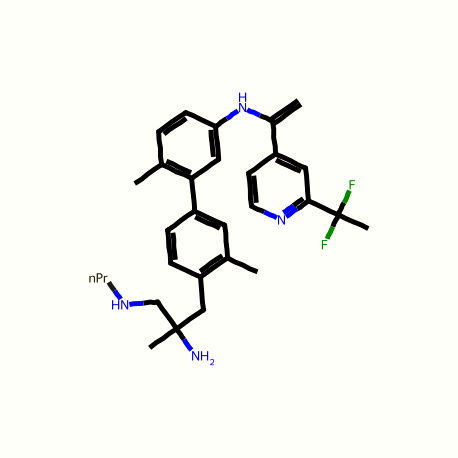 C=C(Nc1ccc(C)c(-c2ccc(CC(C)(N)CNCCC)c(C)c2)c1)c1ccnc(C(C)(F)F)c1